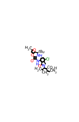 C=C(C)/C(=C(\C=C/C)C(=O)O)N1Cc2c(Cl)ccc(Nc3c(N[C@@H](c4ccc(C)o4)C(C)(C)C)c(=O)c3=O)c2C1=O